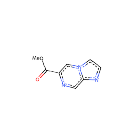 COC(=O)c1cn2ccnc2cn1